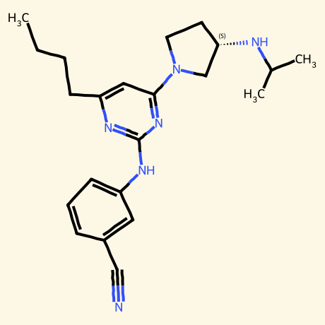 CCCCc1cc(N2CC[C@H](NC(C)C)C2)nc(Nc2cccc(C#N)c2)n1